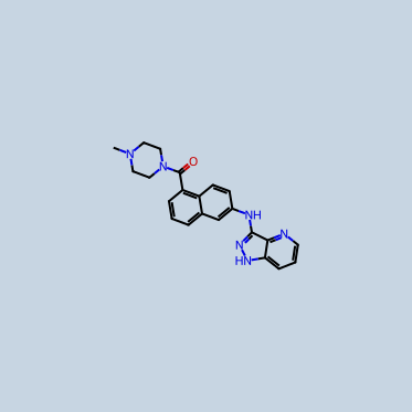 CN1CCN(C(=O)c2cccc3cc(Nc4n[nH]c5cccnc45)ccc23)CC1